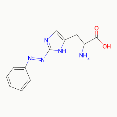 NC(Cc1cnc(N=Nc2ccccc2)[nH]1)C(=O)O